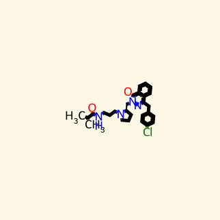 CC(C)C(=O)NCCCN1CCC[C@@H]1Cn1nc(Cc2ccc(Cl)cc2)c2ccccc2c1=O